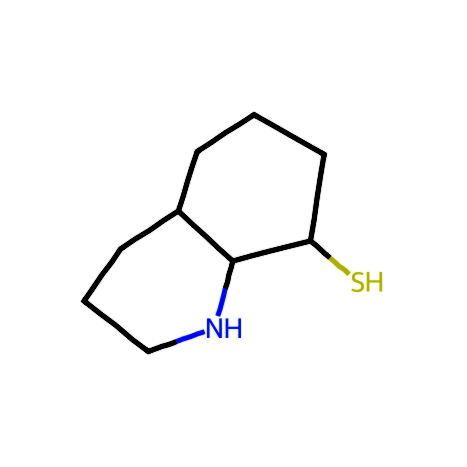 SC1CCCC2CCCNC12